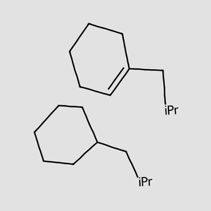 CC(C)CC1=CCCCC1.CC(C)CC1CCCCC1